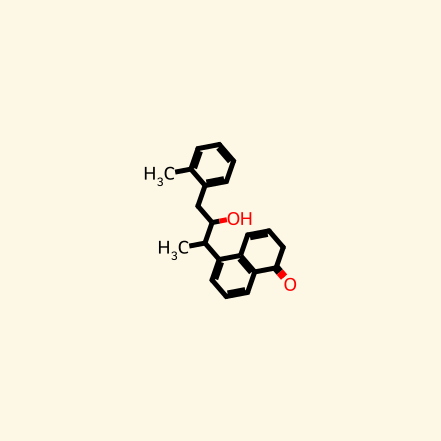 Cc1ccccc1CC(O)C(C)c1cccc2c1C=CCC2=O